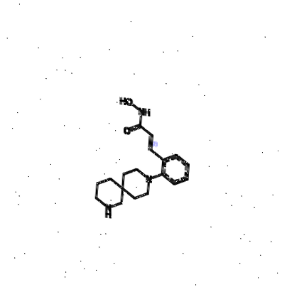 O=C(/C=C/c1ccccc1N1CCC2(CCCNC2)CC1)NO